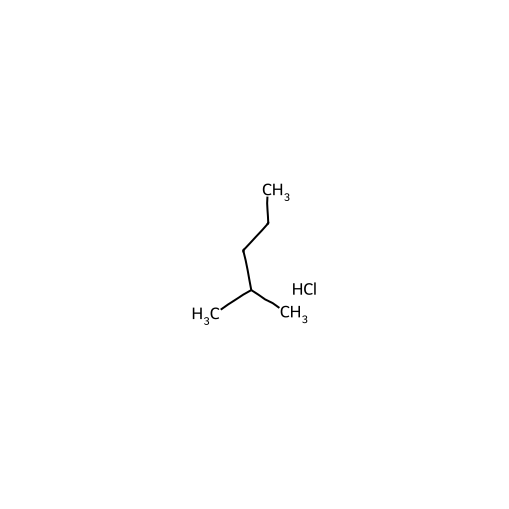 CCCC(C)C.Cl